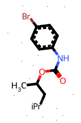 CC(C)CC(C)OC(=O)Nc1ccc(Br)cc1